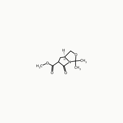 COC(=O)C1C[C@H]2COC(C)(C)N2C1=O